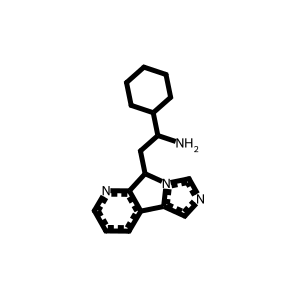 NC(CC1c2ncccc2-c2cncn21)C1CCCCC1